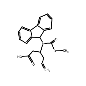 C=CCC(CC(=O)O)N(C(=O)OC)C1c2ccccc2-c2ccccc21